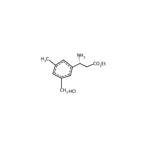 CCOC(=O)C[C@@H](N)c1cc(C)cc(C)c1.Cl